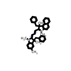 Cc1ccc2c(c1)C(C)(Cc1ccccc1)/C(=C\C=C\C1=[N+](C)c3ccc4ccccc4c3C1(C)Cc1ccccc1)N2C